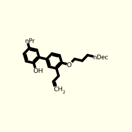 C=CCc1cc(-c2cc(CCC)ccc2O)ccc1OCCCCCCCCCCCCC